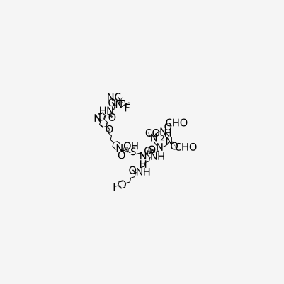 CC1(F)C[C@H](C#N)N(C(=O)CNC(=O)c2ccnc3ccc(OCCCC4CCN(C(=O)[C@H](O)CSCCNC(=O)C(CCCCNC(=O)CCCc5ccc(I)cc5)NC(=O)CN5CCN(COC=O)CCN(COC=O)CCN(CC(=O)O)CC5)CC4)cc23)C1